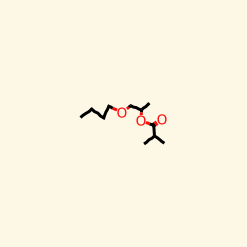 CCCCOCC(C)OC(=O)C(C)C